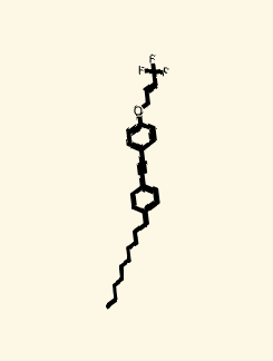 CCCCCCCCCCc1ccc(C#Cc2ccc(OCC=CC(F)(F)F)cc2)cc1